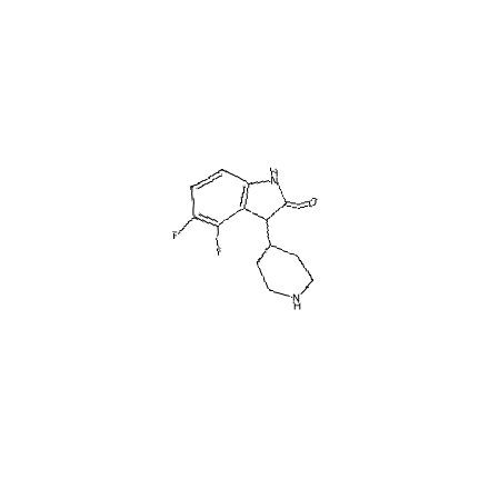 O=C1Nc2ccc(F)c(F)c2C1C1CCNCC1